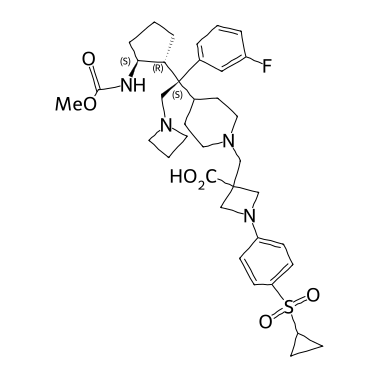 COC(=O)N[C@H]1CCC[C@@H]1[C@](CN1CCC1)(c1cccc(F)c1)C1CCN(CC2(C(=O)O)CN(c3ccc(S(=O)(=O)C4CC4)cc3)C2)CC1